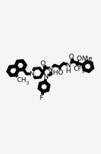 CO[C@@](C(=O)NCC(O)CN1CN(c2ccc(F)cc2)C2(CCN(Cc3cccc4cccc(C)c34)CC2)C1=O)(c1ccccc1)C(F)(F)F